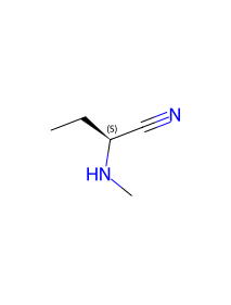 CC[C@@H](C#N)NC